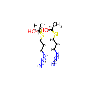 CC(O)=[SH]CCCN=[N+]=[N-].CC(O)=[SH]CCCN=[N+]=[N-]